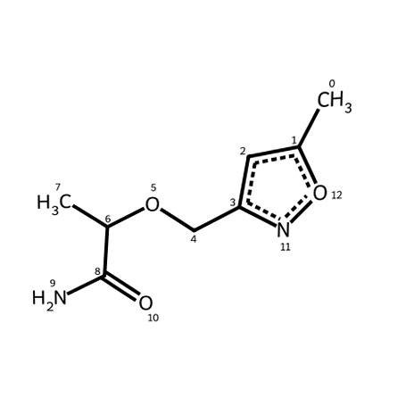 Cc1cc(COC(C)C(N)=O)no1